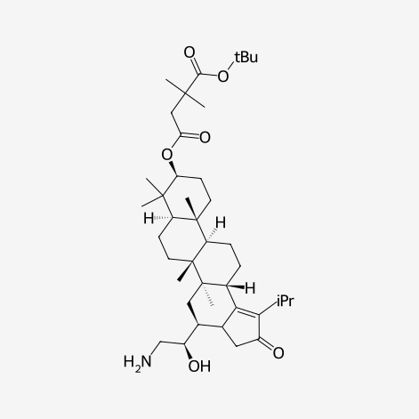 CC(C)C1=C2C(CC1=O)[C@@H]([C@@H](O)CN)C[C@]1(C)[C@@H]2CC[C@@H]2[C@@]3(C)CC[C@H](OC(=O)CC(C)(C)C(=O)OC(C)(C)C)C(C)(C)[C@@H]3CC[C@]21C